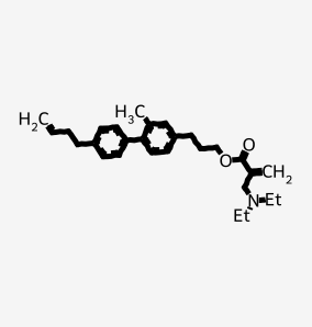 C=CCCc1ccc(-c2ccc(CCCOC(=O)C(=C)CN(CC)CC)cc2C)cc1